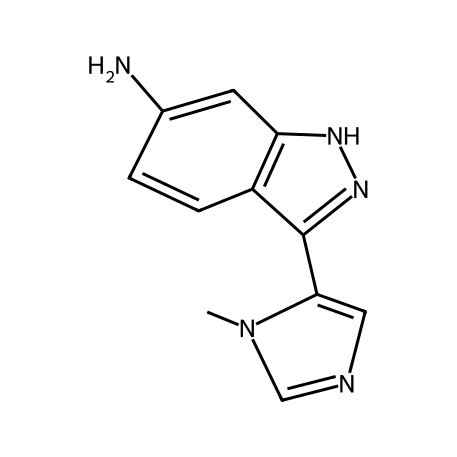 Cn1cncc1-c1n[nH]c2cc(N)ccc12